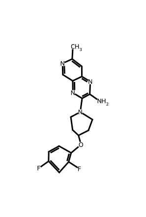 Cc1cc2nc(N)c(N3CCC(Oc4ccc(F)cc4F)CC3)nc2cn1